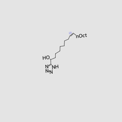 CCCCCCCC/C=C\CCCCCCCC(O)c1nnn[nH]1